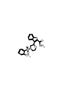 NC(=O)c1sc2ccccc2c1C1CN(S(=O)(=O)c2ccccc2C(F)(F)F)CCO1